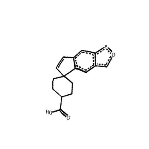 O=C(O)C1CCC2(C=Cc3cc4pocc4cc32)CC1